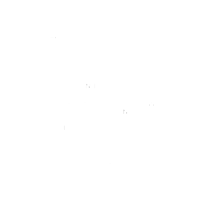 C#CCCNC(=O)C1CN(C=O)CCC(C)CC1C